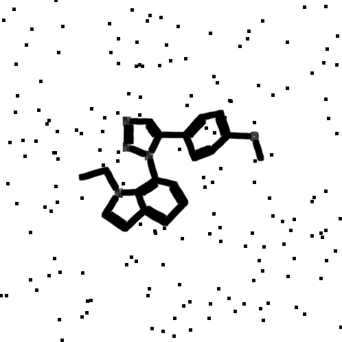 CCn1ccc2cccc(-n3nncc3-c3ccc(OC)cc3)c21